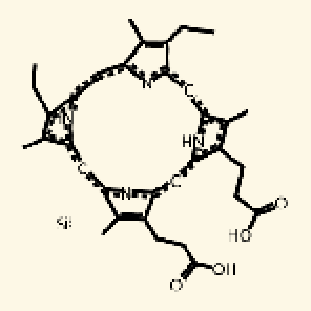 CCC1=C(C)c2cc3[nH]c(cc4nc(cc5[nH]c(cc1n2)c(C)c5CCC(=O)O)C(CCC(=O)O)=C4C)c(C)c3CC.[Si]